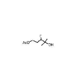 CC(=O)OCCC(F)C(C)(C)O